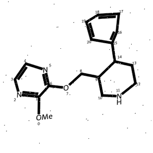 COc1nccnc1OCC1CNCCC1c1ccccc1